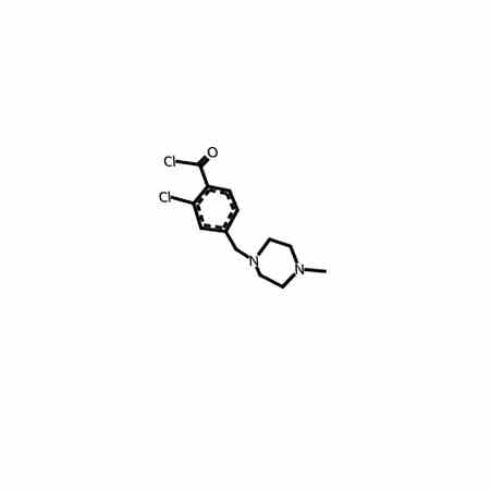 CN1CCN(Cc2ccc(C(=O)Cl)c(Cl)c2)CC1